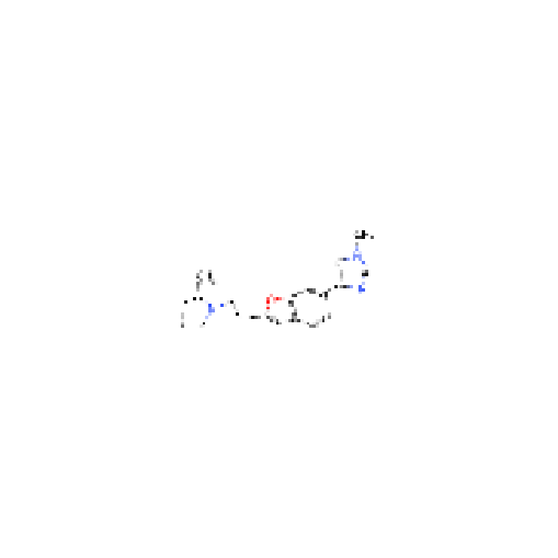 C[C@@H]1CCCN1CCc1cc2ccc(-c3cn(C)cn3)cc2o1